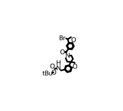 CC(C)(C)OC(=O)NCc1ccc2c(c1)C1(CCN(C(=O)c3ccc4c(c3)C(Br)CO4)CC1)CO2